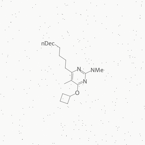 CCCCCCCCCCCCCCc1nc(NC)nc(OC2CCC2)c1C